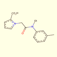 CCN(C(=O)Cn1cccc1C(=O)O)c1cccc(C)c1